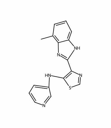 Cc1cccc2[nH]c(-c3ncsc3Nc3cccnc3)nc12